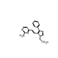 Nc1nccc(C=Cc2c(-c3ccccc3)ncn2CC(=O)O)n1